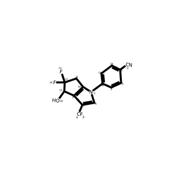 N#Cc1ccc(-n2cc(C(F)(F)F)c3c2CC(F)(F)C3O)cc1